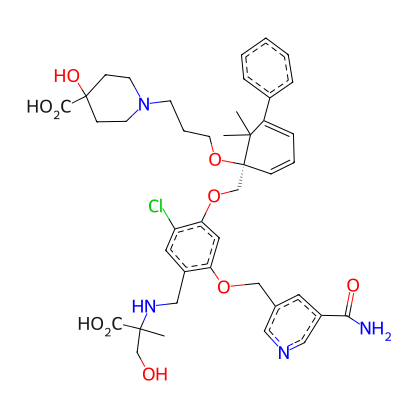 CC(CO)(NCc1cc(Cl)c(OC[C@@]2(OCCCN3CCC(O)(C(=O)O)CC3)C=CC=C(c3ccccc3)C2(C)C)cc1OCc1cncc(C(N)=O)c1)C(=O)O